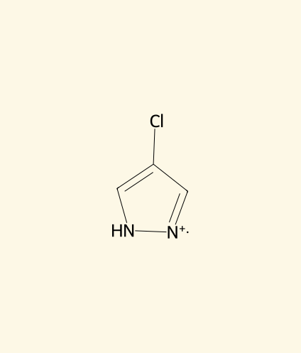 ClC1=CN[N+]=C1